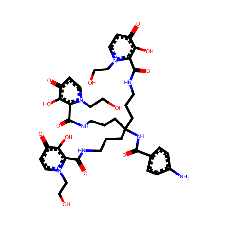 Nc1ccc(C(=O)NC(CCCNC(=O)c2c(O)c(=O)ccn2CCO)(CCCNC(=O)c2c(O)c(=O)ccn2CCO)CCCNC(=O)c2c(O)c(=O)ccn2CCO)cc1